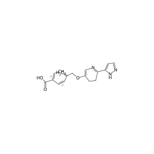 C=C(/C=C\C(=C/C)C(=O)O)COC1=CN=C(c2ccn[nH]2)CC1